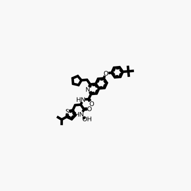 CC(C)c1ccc(CC(NC(=O)c2cc3ccc(Oc4ccc(C(C)(C)C)cc4)cc3c(CC3CCCC3)n2)C(=O)NO)s1